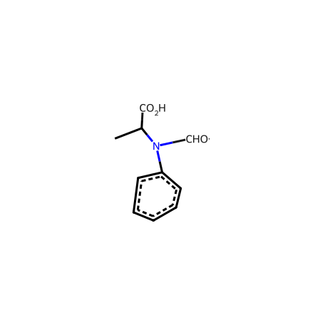 CC(C(=O)O)N([C]=O)c1ccccc1